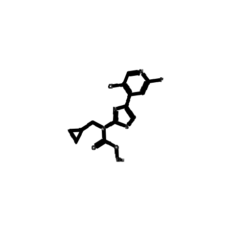 CC(C)(C)OC(=O)N(CC1CC1)c1nc(-c2cc(F)ncc2Cl)cs1